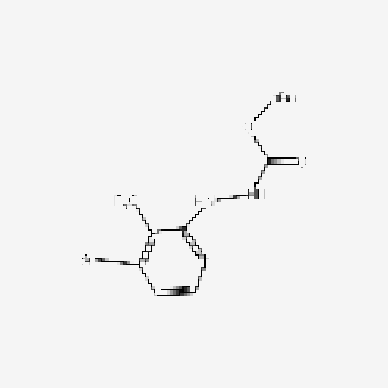 CC(C)(C)OC(=O)NNc1cccc(Br)c1C(F)(F)F